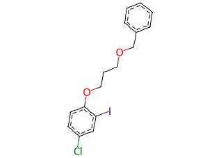 Clc1ccc(OCCCOCc2ccccc2)c(I)c1